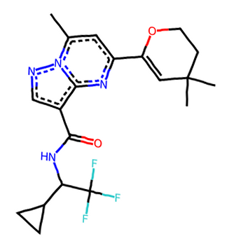 Cc1cc(C2=CC(C)(C)CCO2)nc2c(C(=O)NC(C3CC3)C(F)(F)F)cnn12